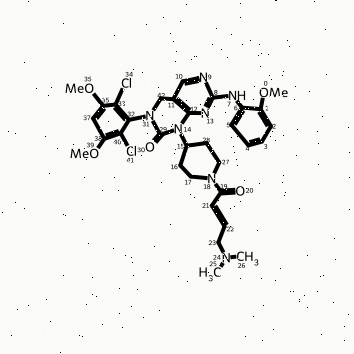 COc1ccccc1Nc1ncc2c(n1)N(C1CCN(C(=O)C=CCN(C)C)CC1)C(=O)N(c1c(Cl)c(OC)cc(OC)c1Cl)C2